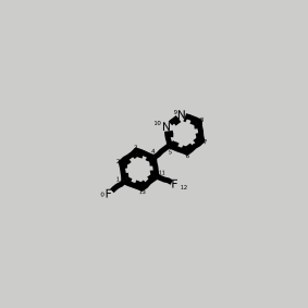 Fc1ccc(-c2cc[c]nn2)c(F)c1